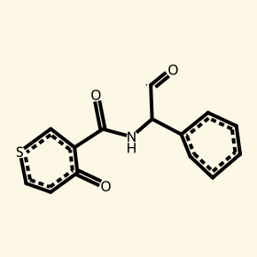 O=[C]C(NC(=O)c1csccc1=O)c1ccccc1